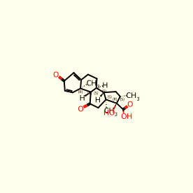 C[C@H]1C[C@H]2[C@@H]3CCC4=CC(=O)C=C[C@]4(C)[C@H]3C(=O)C[C@]2(C)[C@@]1(O)C(=O)O